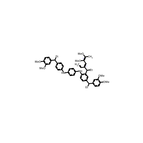 C=C/C(=C\C(OC)=C(/C)OC)C(CC)c1cc(C(CC)c2ccc(OC)c(OC)c2)ccc1Nc1ccc(Nc2ccc(C(CC)c3ccc(OC)c(OC)c3)cc2)cc1